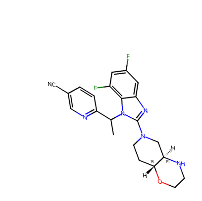 CC(c1ccc(C#N)cn1)n1c(N2CC[C@H]3OCCN[C@@H]3C2)nc2cc(F)cc(F)c21